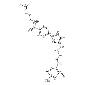 CN(C)CCCNC(=O)c1ccc(-c2nnc(CSCCOc3ccc(Cl)cc3Cl)o2)cc1